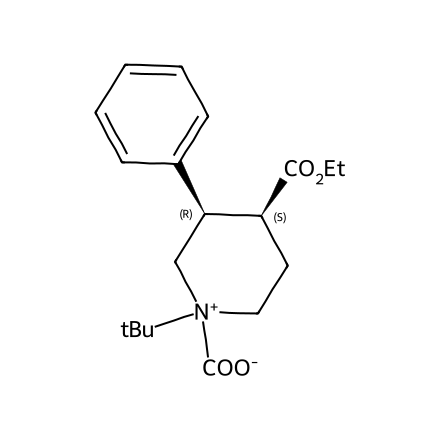 CCOC(=O)[C@H]1CC[N+](C(=O)[O-])(C(C)(C)C)C[C@H]1c1ccccc1